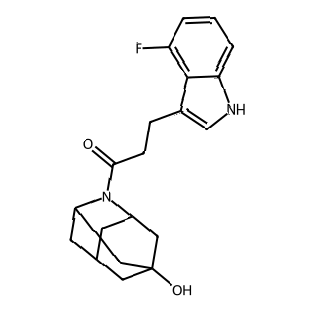 O=C(CCc1c[nH]c2cccc(F)c12)N1C2CC3CC1CC(O)(C3)C2